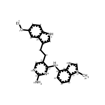 CCOc1ccc2[nH]cc(CCc3cnc(N)nc3Nc3cccc4c3ncn4C)c2c1